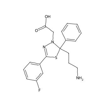 NCCCC1(c2ccccc2)SC(c2cccc(F)c2)=NN1CC(=O)O